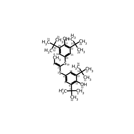 CC=C(Sc1cc(C(C)(C)C)c(O)c(C(C)(C)C)c1)Sc1cc(C(C)(C)C)c(O)c(C(C)(C)C)c1